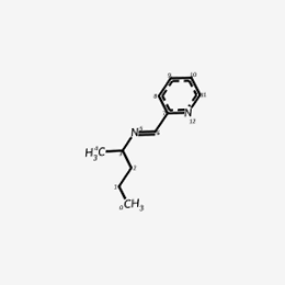 CCCC(C)N=Cc1ccccn1